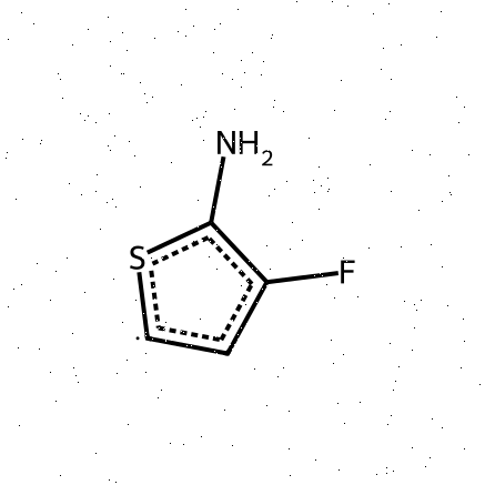 Nc1s[c]cc1F